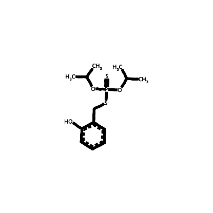 CC(C)OP(=S)(OC(C)C)SCc1ccccc1O